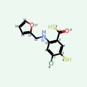 O=C(S)c1cc(S)c(Cl)cc1NCc1ccco1